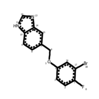 Fc1ccc(OCc2ccc3[nH]cnc3c2)cc1Br